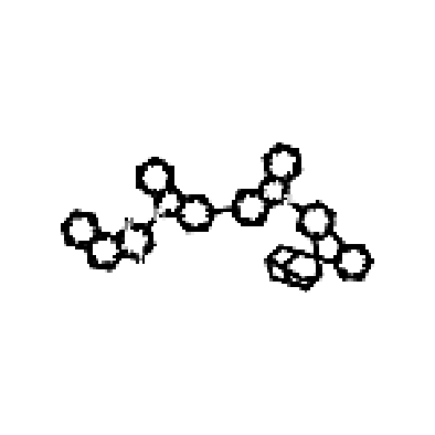 c1ccc2c(c1)-c1ccc(-n3c4ccccc4c4cc(-c5ccc6c(c5)c5ccccc5n6-c5cnc6ccc7ccccc7c6n5)ccc43)cc1C21C2CC3CC(C2)CC1C3